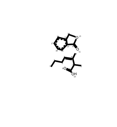 CCCC=C(C)C(C)C(=O)O.O=C1OCc2ccccc21